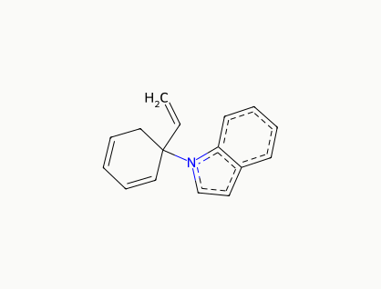 C=CC1(n2ccc3ccccc32)C=CC=CC1